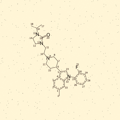 Cc1ccc2c(C3CCN(CCN4CCN(C(C)C)C4=O)CC3)cn(-c3ccccc3F)c2c1